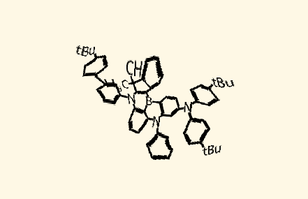 CC(C)(C)c1ccc(-c2cccc(N3C4=C(B5c6ccc(N(c7ccc(C(C)(C)C)cc7)c7ccc(C(C)(C)C)cc7)cc6N(c6ccccc6)c6cccc3c65)c3ccccc3C4(C)C)c2)cc1